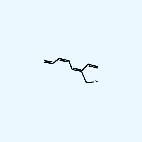 C=C/C=C\C=C(/C=C)CC(C)C